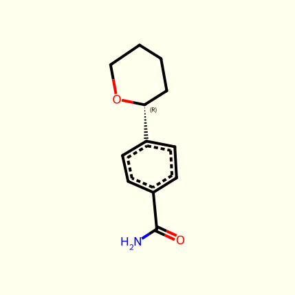 NC(=O)c1ccc([C@H]2CCCCO2)cc1